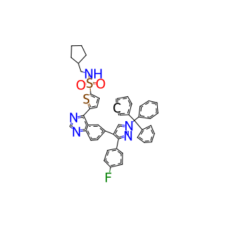 O=S(=O)(NCC1CCCC1)c1ccc(-c2ncnc3ccc(-c4cn(C(c5ccccc5)(c5ccccc5)c5ccccc5)nc4-c4ccc(F)cc4)cc23)s1